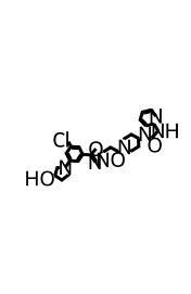 O=C(Cc1nnc(-c2cc(Cl)cc(N3CCC(O)C3)c2)o1)N1CCC(n2c(=O)[nH]c3ncccc32)CC1